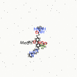 CCCCNC(=N)NC(=O)CCc1ccc(-c2ccc(CN3CCN(c4ncccn4)CC3)cc2)c(OCCCOC)c1.O=C(O)C(F)(F)F